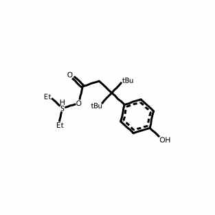 CC[SH](CC)OC(=O)CC(c1ccc(O)cc1)(C(C)(C)C)C(C)(C)C